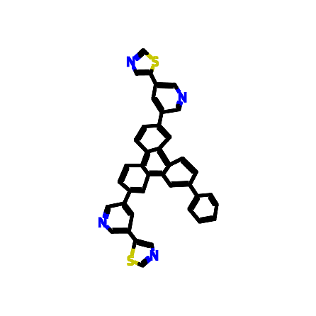 c1ccc(-c2ccc3c4cc(-c5cncc(-c6cncs6)c5)ccc4c4ccc(-c5cncc(-c6cncs6)c5)cc4c3c2)cc1